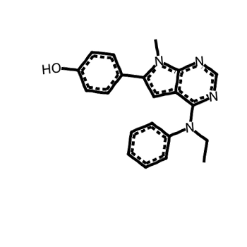 CCN(c1ccccc1)c1ncnc2c1cc(-c1ccc(O)cc1)n2C